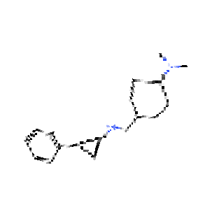 CN(C)C1CCC(CNC2CC2c2ccccc2)CC1